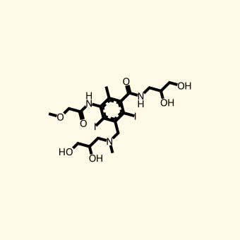 COCC(=O)Nc1c(C)c(C(=O)NCC(O)CO)c(I)c(CN(C)CC(O)CO)c1I